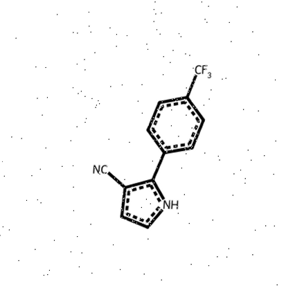 N#Cc1cc[nH]c1-c1ccc(C(F)(F)F)cc1